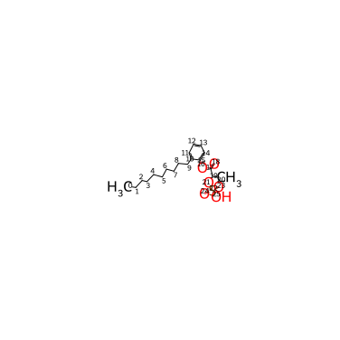 CCCCCCCCCCc1ccccc1OC(=O)C(C)OS(=O)(=O)O